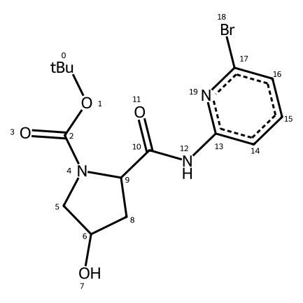 CC(C)(C)OC(=O)N1CC(O)CC1C(=O)Nc1cccc(Br)n1